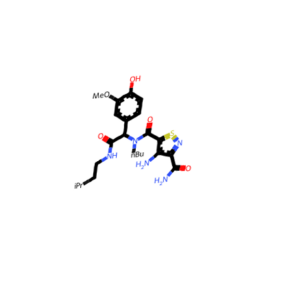 CCCCN(C(=O)c1snc(C(N)=O)c1N)C(C(=O)NCCC(C)C)c1ccc(O)c(OC)c1